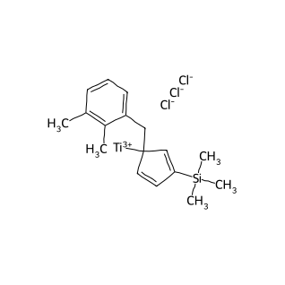 Cc1cccc(C[C]2([Ti+3])C=CC([Si](C)(C)C)=C2)c1C.[Cl-].[Cl-].[Cl-]